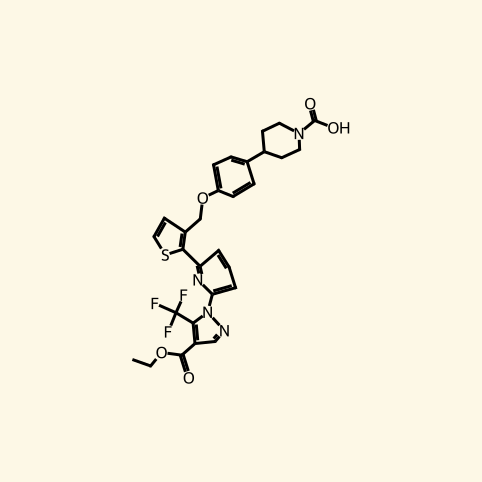 CCOC(=O)c1cnn(-c2cccc(-c3sccc3COc3ccc(C4CCN(C(=O)O)CC4)cc3)n2)c1C(F)(F)F